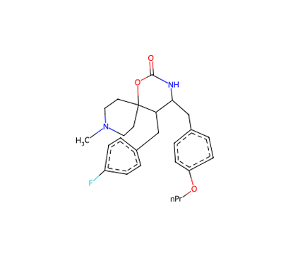 CCCOc1ccc(CC2NC(=O)OC3(CCN(C)CC3)C2Cc2ccc(F)cc2)cc1